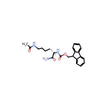 CC(=O)NCCCC[C@H](NC(=O)OCC1c2ccccc2-c2ccccc21)C(N)=O